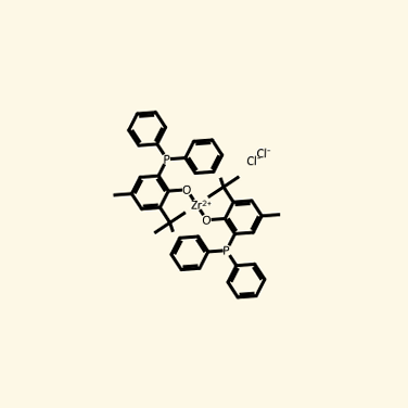 Cc1cc(P(c2ccccc2)c2ccccc2)c([O][Zr+2][O]c2c(P(c3ccccc3)c3ccccc3)cc(C)cc2C(C)(C)C)c(C(C)(C)C)c1.[Cl-].[Cl-]